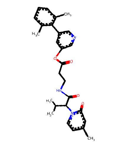 Cc1ccn(C(C(=O)NCCC(=O)Oc2cncc(-c3c(C)cccc3C)c2)C(C)C)c(=O)c1